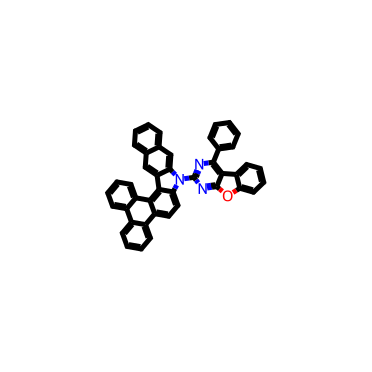 c1ccc(-c2nc(-n3c4cc5ccccc5cc4c4c5c6ccccc6c6ccccc6c5ccc43)nc3oc4ccccc4c23)cc1